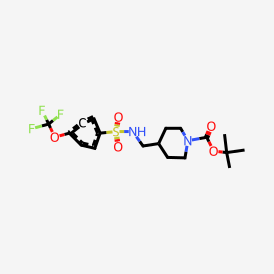 CC(C)(C)OC(=O)N1CCC(CNS(=O)(=O)c2ccc(OC(F)(F)F)cc2)CC1